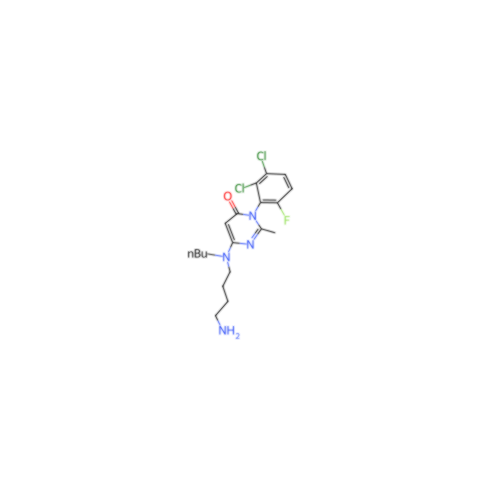 CCCCN(CCCCN)c1cc(=O)n(-c2c(F)ccc(Cl)c2Cl)c(C)n1